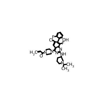 C=CC(=O)N1CCN(c2nc(NC3CCCN(C(C)C)C3)nc3c(F)c(-c4c(O)cccc4F)c(Cl)cc23)CC1